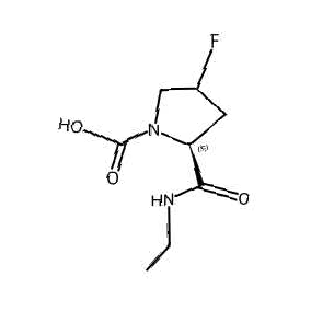 CCNC(=O)[C@@H]1CC(F)CN1C(=O)O